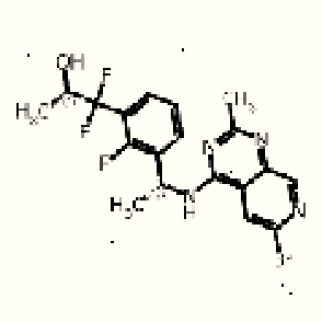 Cc1nc(N[C@H](C)c2cccc(C(F)(F)[C@@H](C)O)c2F)c2cc(Br)ncc2n1